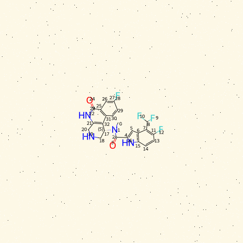 CN(C(=O)c1cc2c(C(F)F)c(F)ccc2[nH]1)[C@@H]1CNCc2[nH]c(=O)c3cc(F)ccc3c21